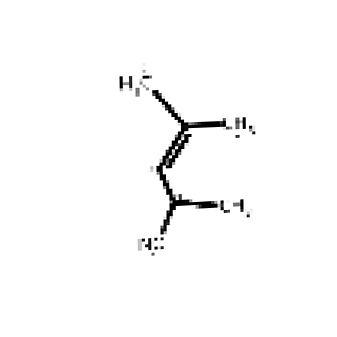 CC(C)=CC(C)C#N